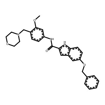 COc1cc(NC(=O)c2cc3cc(OCc4ccccc4)ccc3[nH]2)ccc1CN1CCOCC1